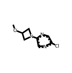 COC1CN(c2cnc(Cl)cn2)C1